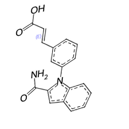 NC(=O)c1cc2ccccc2n1-c1cccc(/C=C/C(=O)O)c1